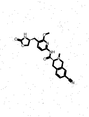 COc1nc(NC(=O)[C@@H]2Cc3ccc(C#N)cc3CN2C)ccc1C[C@H]1COC(=O)N1